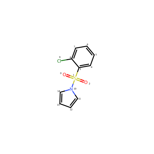 O=S(=O)(c1ccccc1Cl)n1cccc1